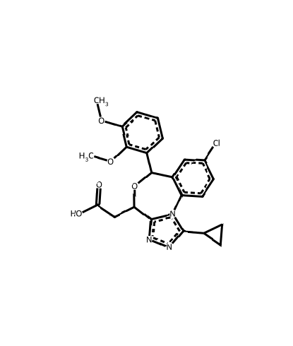 COc1cccc(C2OC(CC(=O)O)c3nnc(C4CC4)n3-c3ccc(Cl)cc32)c1OC